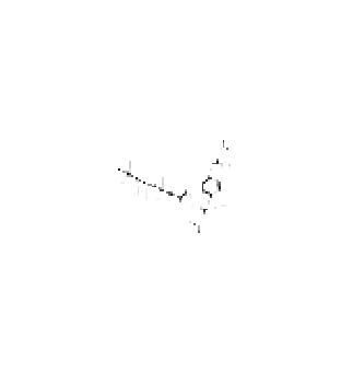 CC(C)OC(=O)Nc1ccc(NC(=O)OC(C)C)c(OC(F)=C(F)C(F)(F)C(F)(F)C(F)(F)C(F)(F)C(F)(F)C(F)(F)C(F)(F)F)c1